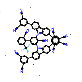 N#Cc1cc(C#N)cc(-c2ccc3c4ccc(-c5cc(C#N)cc(C#N)c5)cc4n(-c4cc(-c5c(C#N)cccc5C(F)(F)F)cc(-n5c6cc(-c7cc(C#N)cc(C#N)c7)ccc6c6ccc(-c7cc(C#N)cc(C#N)c7)cc65)c4C#N)c3c2)c1